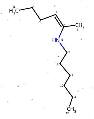 CCC/C=C(/C)NCCCCCC